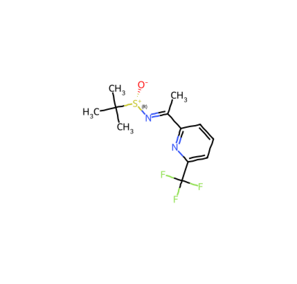 CC(=N[S@@+]([O-])C(C)(C)C)c1cccc(C(F)(F)F)n1